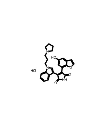 Cl.O=C1NC(=O)C(c2cc(O)cc3ccoc23)=C1c1cn(CCCN2CCCC2)c2ccccc12